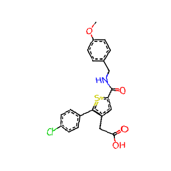 COc1ccc(CNC(=O)c2cc(CC(=O)O)c(-c3ccc(Cl)cc3)s2)cc1